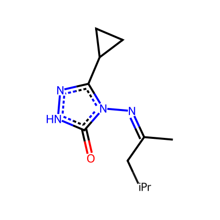 CC(CC(C)C)=Nn1c(C2CC2)n[nH]c1=O